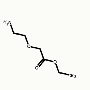 CC(C)(C)COC(=O)COCCN